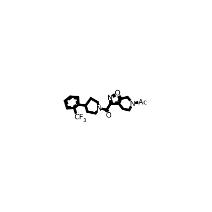 CC(=O)N1CCc2c(C(=O)N3CCC(c4ccccc4C(F)(F)F)CC3)noc2C1